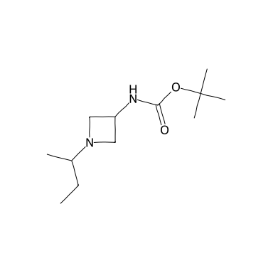 CCC(C)N1CC(NC(=O)OC(C)(C)C)C1